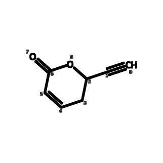 C#CC1CC=CC(=O)O1